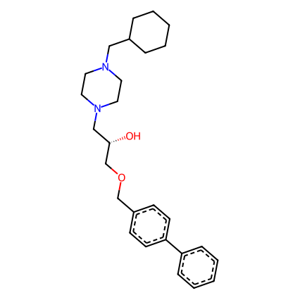 O[C@H](COCc1ccc(-c2ccccc2)cc1)CN1CCN(CC2CCCCC2)CC1